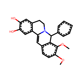 COc1ccc2c(c1OC)C(c1ccccc1)N1CCc3cc(O)c(O)cc3C1=C2